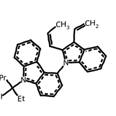 C=Cc1c(/C=C\C)n(-c2cccc3c2c2ccccc2n3C(I)(CC)CCC)c2ccccc12